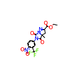 CCOC(=O)C1=NN2C(=O)N(c3ccc([N+](=O)[O-])c(C(F)(F)F)c3)C(=O)C2(C)C1